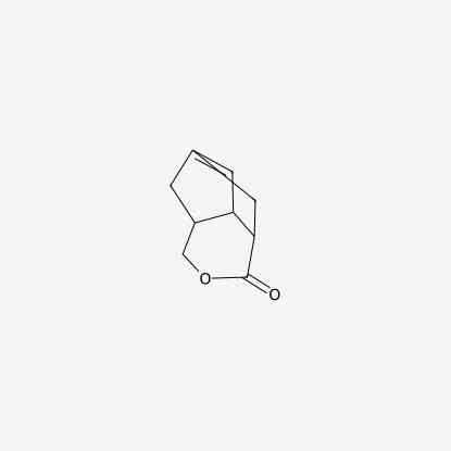 O=C1OCC2CC3=CC2C1C3